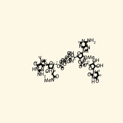 CNC(=O)CC[C@@H]1[C@@H](COP(=O)(O)OP(=O)(O)OP(=O)(O)OC[C@H]2O[C@@H](n3cnc4c(N)ncnc43)[C@H](OC)[C@@H]2OP(=O)([O-])OC[C@H]2O[C@@H](n3ccc(=O)[nH]c3=O)[C@H](O)[C@@H]2O)OC(n2c[n+](C)c3c(=O)[nH]c(N)nc32)[C@@H]1O